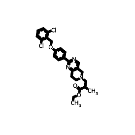 CCOC(=O)C(C)CN1CCc2nc(-c3ccc(OCc4c(Cl)cccc4Cl)cc3)ncc2C1